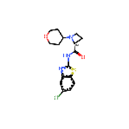 O=C(Nc1nc2cc(Cl)ccc2s1)[C@@H]1CCN1C1CCOCC1